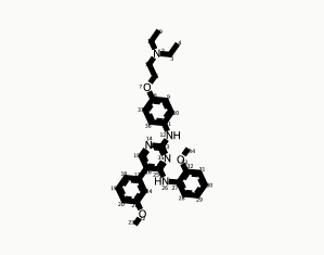 CCN(CC)CCOc1ccc(Nc2ncc(-c3cccc(OC)c3)c(Nc3ccccc3OC)n2)cc1